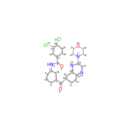 O=C(Nc1cccc(C(=O)c2ccc3ncc(N4CCOCC4)nc3c2)c1)c1ccc(Cl)c(Cl)c1